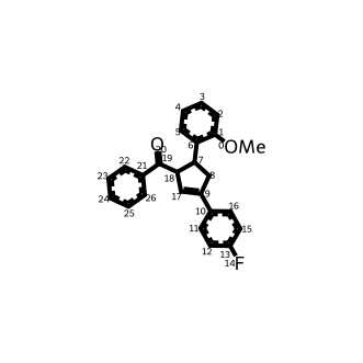 COc1ccccc1C1CC(c2ccc(F)cc2)=CC1C(=O)c1ccccc1